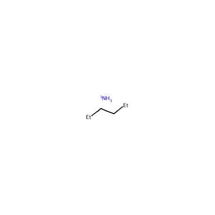 CCCCCC.[1NH3]